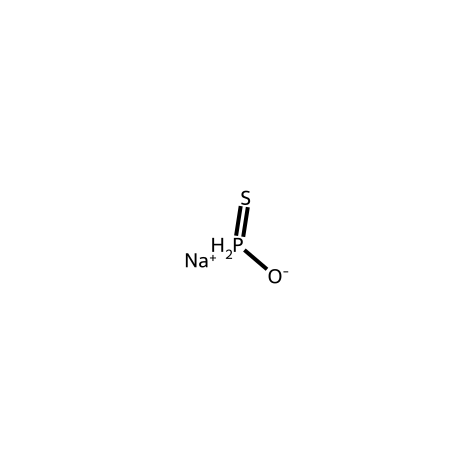 [Na+].[O-][PH2]=S